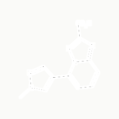 Cn1cc(-c2cccc3nc(C(=O)O)nn23)cn1